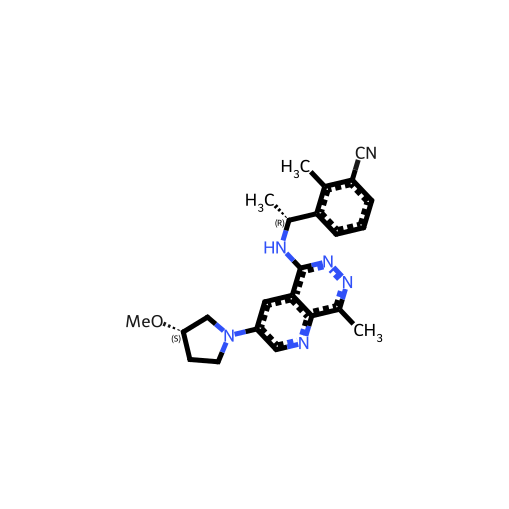 CO[C@H]1CCN(c2cnc3c(C)nnc(N[C@H](C)c4cccc(C#N)c4C)c3c2)C1